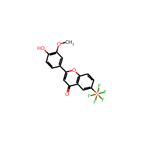 COc1cc(-c2cc(=O)c3cc(S(F)(F)(F)(F)F)ccc3o2)ccc1O